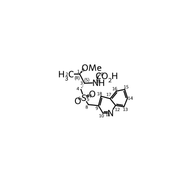 CO[C@H](C)[C@@H](CS(=O)(=O)Cc1cnc2ccccc2c1)NC(=O)O